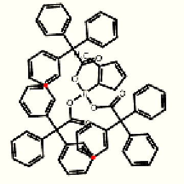 CC1=[C]([Ti]([O]C(=O)C(c2ccccc2)(c2ccccc2)c2ccccc2)([O]C(=O)C(c2ccccc2)(c2ccccc2)c2ccccc2)[O]C(=O)C(c2ccccc2)(c2ccccc2)c2ccccc2)CC=C1